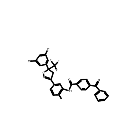 Cc1ccc(C2=NOC(c3cc(Cl)cc(Cl)c3)(C(F)(F)F)C2)cc1NC(=O)c1ccc(C(=O)c2ccccc2)cc1